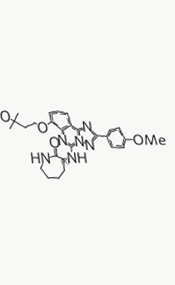 COc1ccc(-c2nc3c4cccc(OCCC(C)(C)O)c4nc(N[C@@H]4CCCCNC4=O)n3n2)cc1